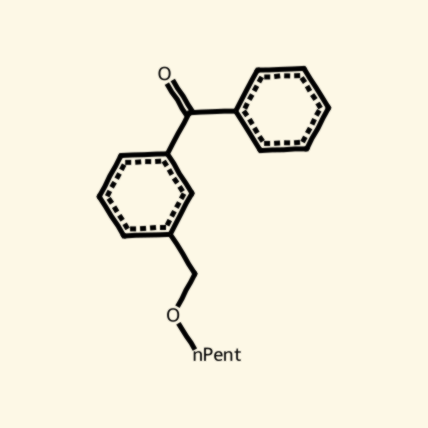 CCCCCOCc1cccc(C(=O)c2ccccc2)c1